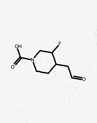 O=CCC1CCN(C(=O)O)CC1F